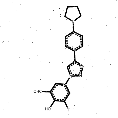 O=Cc1cc(-n2cc(-c3ccc(N4CCCC4)cc3)nn2)cc(F)c1O